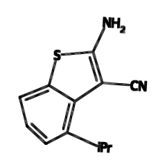 CC(C)c1cccc2sc(N)c(C#N)c12